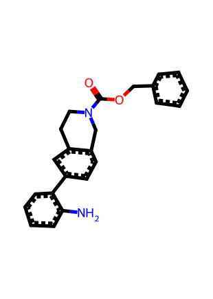 Nc1ccccc1-c1ccc2c(c1)CCN(C(=O)OCc1ccccc1)C2